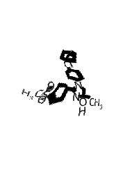 CCC1(O)CN(c2ccc(Cl)cc2)C(c2ccc(S(C)(=O)=O)cc2)=N1.c1cc2ccc1-2